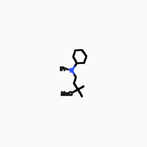 COC(C)(C)CCN(C(C)C)C1CCCCC1